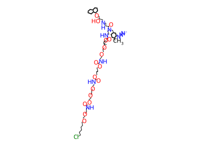 Cc1ccc(CN(CCNC(=O)OCCOCCOCCNC(=O)OC/C=C/COC(=O)NCCOCCOCCOC(=O)NCCOCCOCCCCCCCl)C(=O)CCNC[C@H](O)COc2cccc3ccccc23)cc1N=[N+]=[N-]